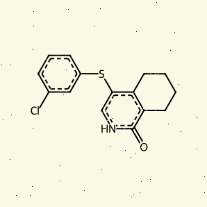 O=c1[nH]cc(Sc2cccc(Cl)c2)c2c1CCCC2